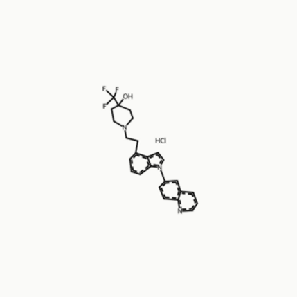 Cl.OC1(C(F)(F)F)CCN(CCc2cccc3c2ccn3-c2ccc3ncccc3c2)CC1